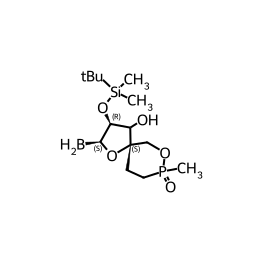 B[C@@H]1O[C@]2(CCP(C)(=O)OC2)C(O)[C@@H]1O[Si](C)(C)C(C)(C)C